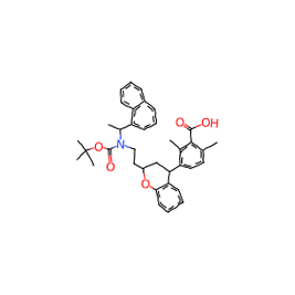 Cc1ccc(C2CC(CCN(C(=O)OC(C)(C)C)C(C)c3cccc4ccccc34)Oc3ccccc32)c(C)c1C(=O)O